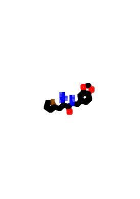 N[C@H](Cc1cccs1)C(=O)NCc1ccc2c(c1)OCO2